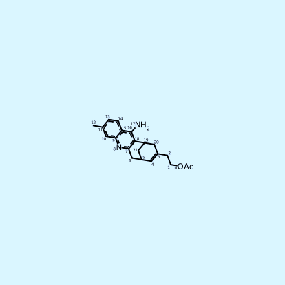 CC(=O)OCCC1=CC2Cc3nc4cc(C)ccc4c(N)c3C(C1)C2